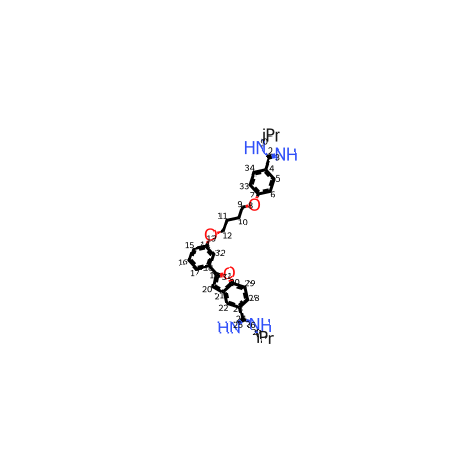 CC(C)NC(=N)c1ccc(OCCCCOc2cccc(-c3cc4cc(C(=N)NC(C)C)ccc4o3)c2)cc1